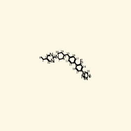 CCc1cnc(N2CCC(Cc3ccc(-c4ccc(-n5cnnn5)cc4F)cc3)CC2)nc1